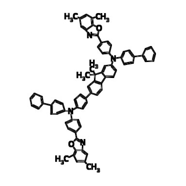 Cc1cc(C)c2oc(-c3ccc(N(c4ccc(-c5ccccc5)cc4)c4ccc(-c5ccc6c(c5)C(C)(C)c5cc(N(c7ccc(-c8ccccc8)cc7)c7ccc(-c8nc9cc(C)cc(C)c9o8)cc7)ccc5-6)cc4)cc3)nc2c1